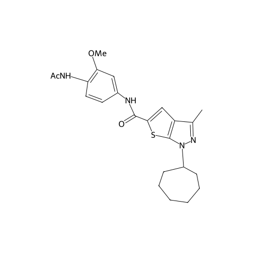 COc1cc(NC(=O)c2cc3c(C)nn(C4CCCCCC4)c3s2)ccc1NC(C)=O